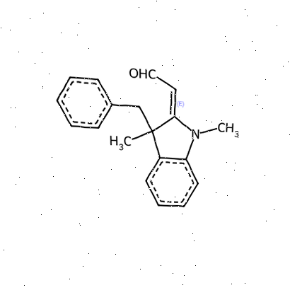 CN1/C(=C/C=O)C(C)(Cc2ccccc2)c2ccccc21